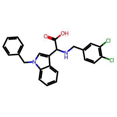 O=C(O)C(NCc1ccc(Cl)c(Cl)c1)c1cn(Cc2ccccc2)c2ccccc12